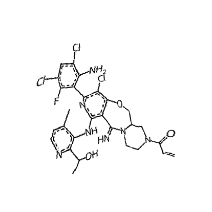 C=CC(=O)N1CCN2C(=N)c3c(Nc4c(C)ccnc4C(C)O)nc(-c4c(N)c(Cl)cc(Cl)c4F)c(Cl)c3OCC2C1